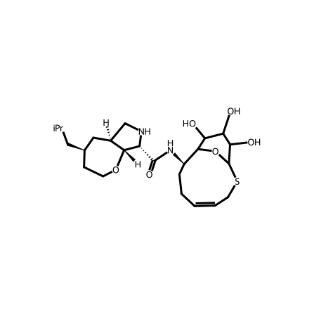 CC(C)C[C@@H]1CCO[C@@H]2[C@H](CN[C@@H]2C(=O)N[C@@H]2CC/C=C\CSC3OC2C(O)C(O)C3O)C1